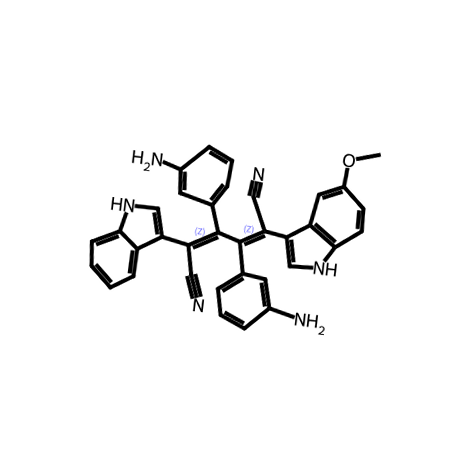 COc1ccc2[nH]cc(/C(C#N)=C(/C(=C(\C#N)c3c[nH]c4ccccc34)c3cccc(N)c3)c3cccc(N)c3)c2c1